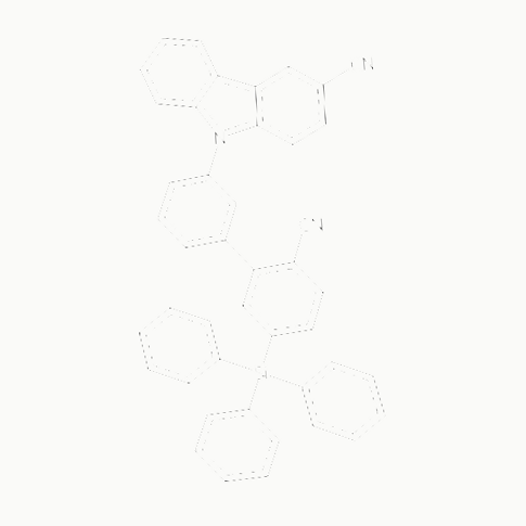 N#Cc1ccc2c(c1)c1ccccc1n2-c1cccc(-c2cc([Si](c3ccccc3)(c3ccccc3)c3ccccc3)ccc2C#N)c1